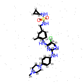 Cc1cc(CNS(=O)(=O)NC2CC2)ccc1Nc1nc(Nc2ccc(N3CCN(C)CC3)cc2)ncc1Cl